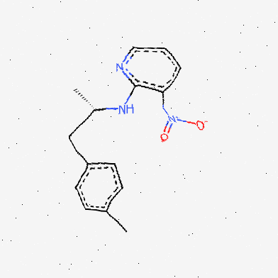 Cc1ccc(C[C@H](C)Nc2ncccc2[N+](=O)[O-])cc1